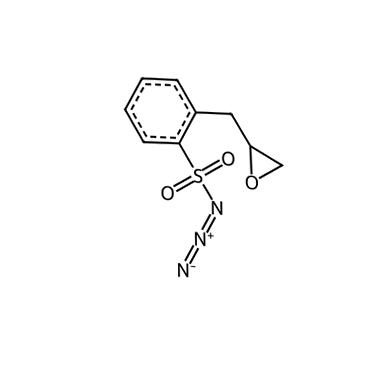 [N-]=[N+]=NS(=O)(=O)c1ccccc1CC1CO1